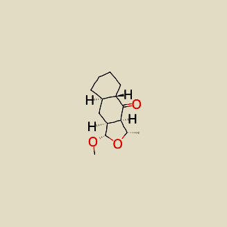 CO[C@H]1O[C@@H](C)[C@@H]2C(=O)[C@H]3CCCC[C@@H]3C[C@H]12